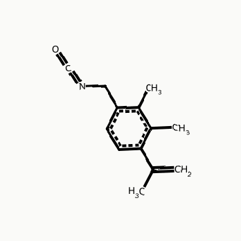 C=C(C)c1ccc(CN=C=O)c(C)c1C